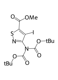 COC(=O)c1snc(N(C(=O)OC(C)(C)C)C(=O)OC(C)(C)C)c1I